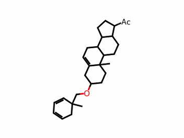 CC(=O)C1CCC2C1CCC1C2CC=C2CC(OCC3(C)C=CC=CC3)CCC21C